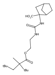 CC(C)(C)CC(C)(C(=O)OCCNC(=O)NC1(C(=O)O)CC2CCC1C2)C(C)(C)C